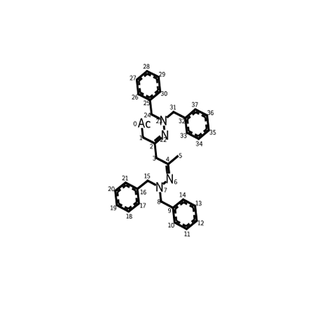 CC(=O)CC(CC(C)=NN(Cc1ccccc1)Cc1ccccc1)=NN(Cc1ccccc1)Cc1ccccc1